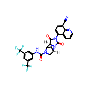 N#Cc1ccc(N2C(=O)[C@@H]3C4C[C@H](CN4C(=O)Nc4cc(C(F)(F)F)cc(C(F)(F)F)c4)N3C2=O)c2cccnc12